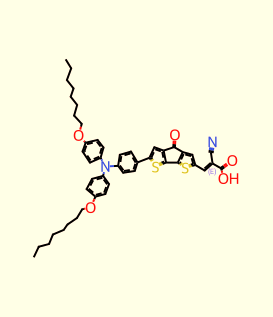 CCCCCCCCOc1ccc(N(c2ccc(OCCCCCCCC)cc2)c2ccc(-c3cc4c(s3)-c3sc(/C=C(\C#N)C(=O)O)cc3C4=O)cc2)cc1